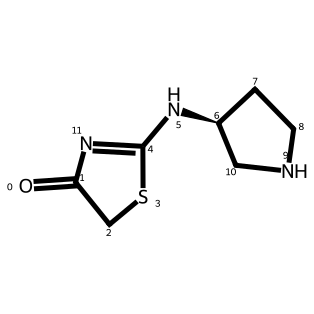 O=C1CSC(N[C@H]2CCNC2)=N1